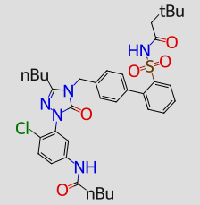 CCCCC(=O)Nc1ccc(Cl)c(-n2nc(CCCC)n(Cc3ccc(-c4ccccc4S(=O)(=O)NC(=O)CC(C)(C)C)cc3)c2=O)c1